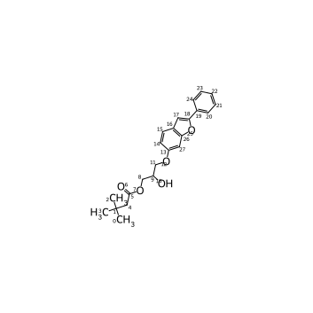 CC(C)(C)CC(=O)OCC(O)COc1ccc2cc(-c3ccccc3)oc2c1